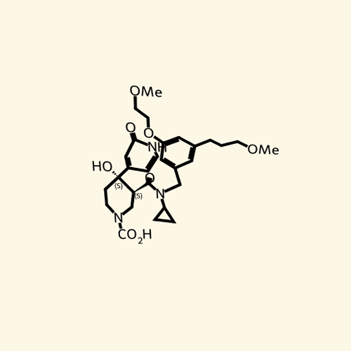 COCCCc1cc(CN(C(=O)[C@H]2CN(C(=O)O)CC[C@@]2(O)c2cc[nH]c(=O)c2)C2CC2)cc(OCCOC)c1